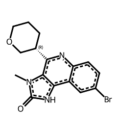 Cn1c(=O)[nH]c2c3cc(Br)ccc3nc([C@H]3CCCOC3)c21